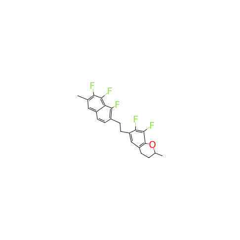 Cc1cc2ccc(CCc3cc4c(c(F)c3F)OC(C)CC4)c(F)c2c(F)c1F